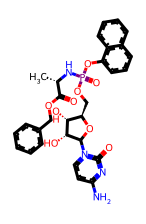 C[C@H](NP(=O)(OC[C@H]1OC(n2ccc(N)nc2=O)[C@H](O)[C@@H]1O)Oc1cccc2ccccc12)C(=O)OCc1ccccc1